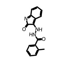 Cc1ccccc1C(=O)NNC1=c2ccccc2=NC1=O